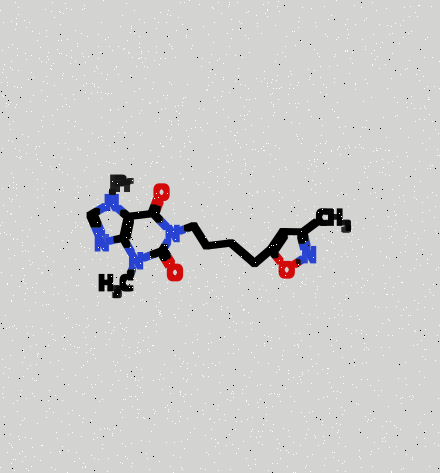 Cc1cc(CCCCn2c(=O)c3c(ncn3C(C)C)n(C)c2=O)on1